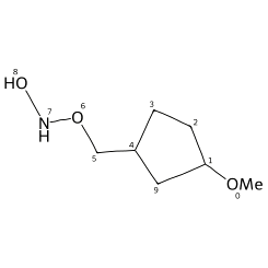 COC1CCC(CONO)C1